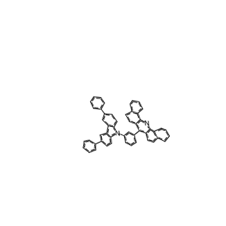 c1ccc(-c2ccc3c(c2)c2cc(-c4ccccc4)ccc2n3-c2cccc(-c3c4ccc5ccccc5c4nc4c3ccc3ccccc34)c2)cc1